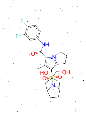 Cc1c(S(=O)(=O)N2C3CCC2CC(O)(CO)C3)c2n(c1C(=O)Nc1ccc(F)c(F)c1)CCC2